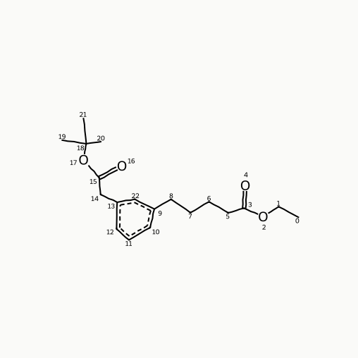 CCOC(=O)CCCCc1cccc(CC(=O)OC(C)(C)C)c1